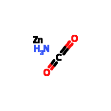 N.O=C=O.[Zn]